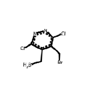 BCc1c(Cl)nnc(Cl)c1CBr